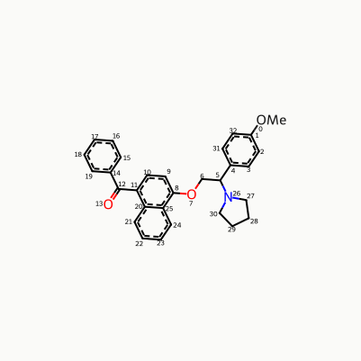 COc1ccc(C(COc2ccc(C(=O)c3ccccc3)c3ccccc23)N2CCCC2)cc1